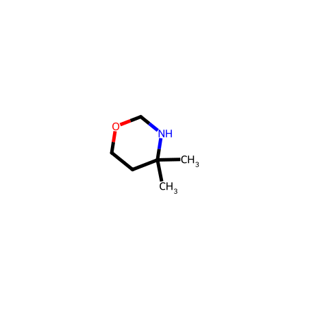 CC1(C)CCOCN1